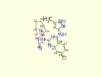 Cc1cc(Nc2nc(NC3CC4CCC(C3)N4CCC#N)nc3cc(Cl)ccc23)n[nH]1